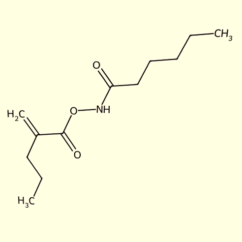 C=C(CCC)C(=O)ONC(=O)CCCCC